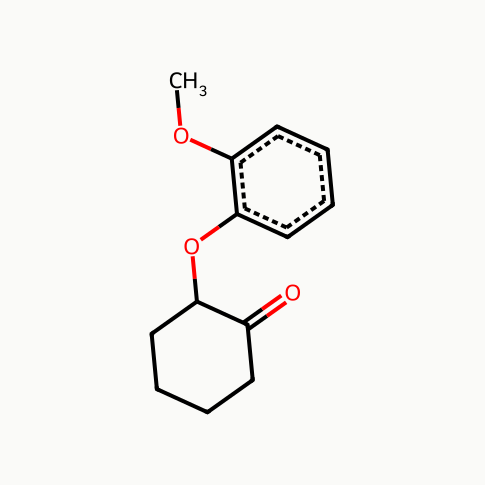 COc1ccccc1OC1CCCCC1=O